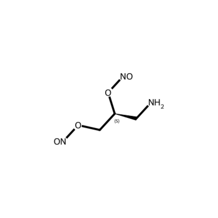 NC[C@@H](CON=O)ON=O